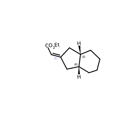 CCOC(=O)/C=C1/C[C@H]2CCCC[C@H]2C1